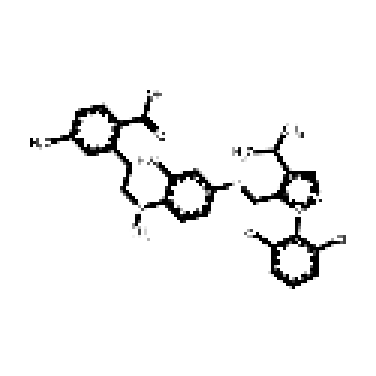 Cc1ccc(C(=O)O)c(CCN(C)c2ccc(OCc3c(C(C)C)cnn3-c3c(Cl)cccc3Cl)cc2C)c1